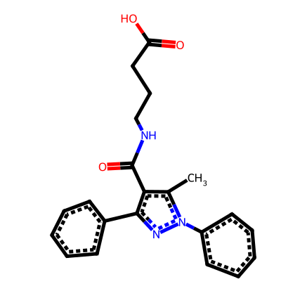 Cc1c(C(=O)NCCCC(=O)O)c(-c2ccccc2)nn1-c1ccccc1